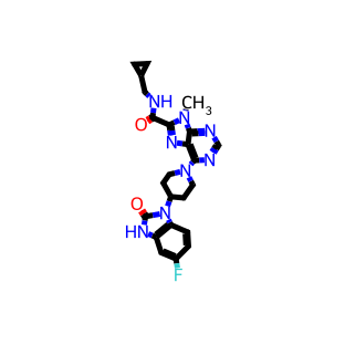 Cn1c(C(=O)NCC2CC2)nc2c(N3CCC(n4c(=O)[nH]c5cc(F)ccc54)CC3)ncnc21